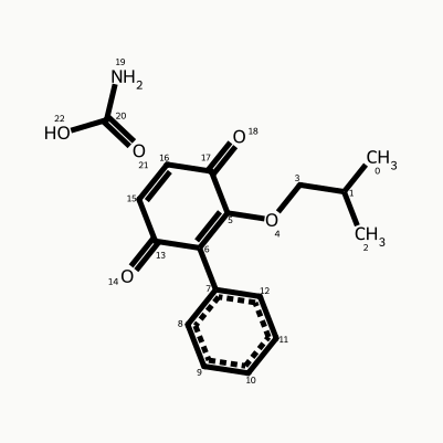 CC(C)COC1=C(c2ccccc2)C(=O)C=CC1=O.NC(=O)O